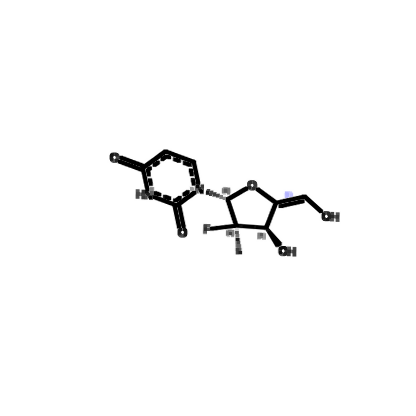 C[C@@]1(F)[C@H](O)/C(=C\O)O[C@H]1n1ccc(=O)[nH]c1=O